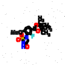 COc1ccc(B2OC(C)(C)C(C)(C)O2)c(F)c1N1CC(=O)NS1(=O)=O